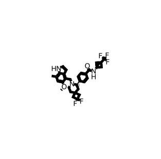 COc1cc(C)c2[nH]ccc2c1CN1CCC2(C[C@@H]1c1ccc(C(=O)NC34CC(C(F)(F)F)(C3)C4)cc1)CC(F)(F)C2